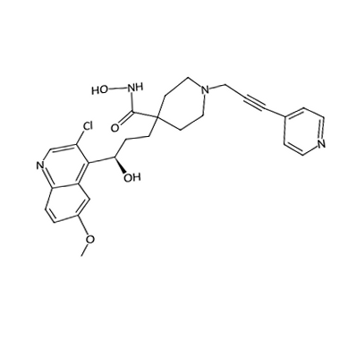 COc1ccc2ncc(Cl)c([C@H](O)CCC3(C(=O)NO)CCN(CC#Cc4ccncc4)CC3)c2c1